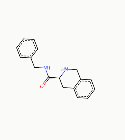 O=C(NCc1ccccc1)[C@@H]1Cc2ccccc2CN1